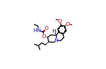 CCNC(=O)O[C@@H]1C[C@@H]2c3cc(OC)c(OC)cc3CCN2C[C@H]1CCC(C)C